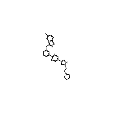 Cc1ccc2nnc(Cc3cccc(-c4ncc(-c5cnn(CCN6CCCC6)c5)cn4)c3)n2n1